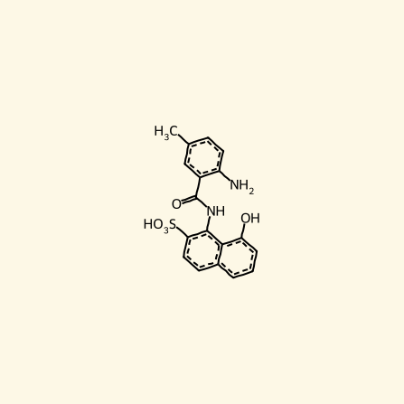 Cc1ccc(N)c(C(=O)Nc2c(S(=O)(=O)O)ccc3cccc(O)c23)c1